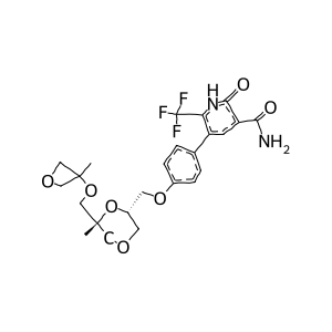 CC1(OC[C@@]2(C)COC[C@@H](COc3ccc(-c4cc(C(N)=O)c(=O)[nH]c4C(F)(F)F)cc3)O2)COC1